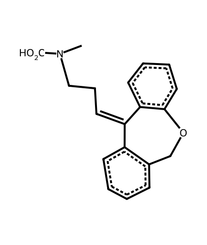 CN(CCC=C1c2ccccc2COc2ccccc21)C(=O)O